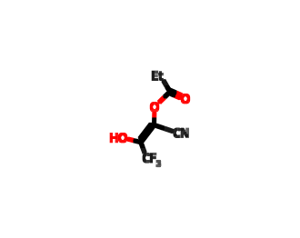 CCC(=O)O/C(C#N)=C(\O)C(F)(F)F